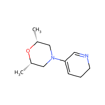 C[C@@H]1CN(C2=CCCN=C2)C[C@H](C)O1